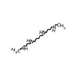 CCNCCCCNCCCCCNCCCCNCC